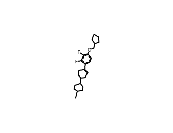 CC1CCC(C2CC=C(c3ccc(OCC4CCCC4)c(F)c3F)CC2)CC1